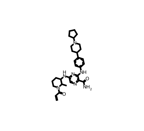 C=CC(=O)N1CCCC(Nc2cnc(C(N)=O)c(Nc3ccc(C4CCN(C5CCCC5)CC4)cc3)n2)C1C